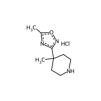 Cc1nc(C2(C)CCNCC2)no1.Cl